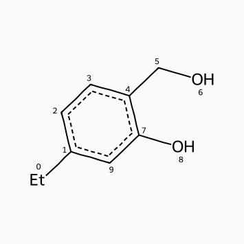 CCc1ccc(CO)c(O)c1